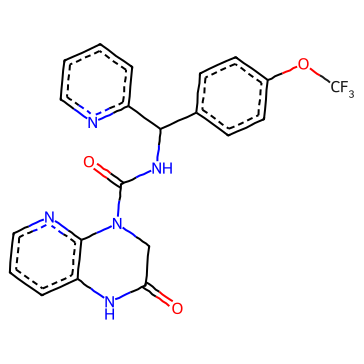 O=C1CN(C(=O)NC(c2ccc(OC(F)(F)F)cc2)c2ccccn2)c2ncccc2N1